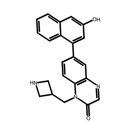 O=c1cnc2cc(-c3cc(O)cc4ccccc34)ccc2n1CC1CNC1